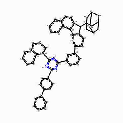 c1ccc(-c2ccc(-c3nc(-c4cccc(-c5ccc6c(c5)-c5c(ccc7ccccc57)C6C56CC7CC(CC(C7)C5)C6)c4)nc(-c4cccc5ccccc45)n3)cc2)cc1